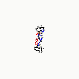 O=C1OC(c2cccc3ccccc23)=N/C1=C/N1CCN(S(=O)(=O)c2cccc3cccnc23)CC1